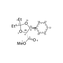 CCC1(CC)O[C@@H](C(=O)OC)[C@H](c2ccccc2)O1